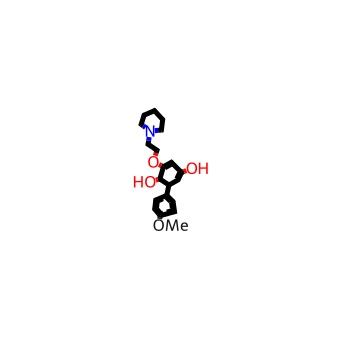 COc1ccc(C2C=C(O)C=C(OCCN3CCCCC3)C2O)cc1